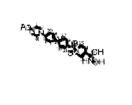 CC(=O)N1CCN(c2ccc(-c3ccc(S(=O)(=O)N4CC=C(C(O)NO)CC4)cc3)cc2)CC1